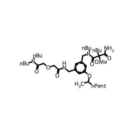 CCCCCC(C)Oc1cc(CNC(=O)COCC(=O)N(CCCC)CCCC)cc(CN(CCCC)C(=O)C(CCCC)(OC)C(N)=O)c1